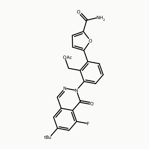 CC(=O)OCc1c(-c2ccc(C(N)=O)o2)cccc1-n1ncc2cc(C(C)(C)C)cc(F)c2c1=O